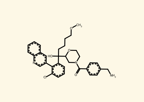 COCCCCC(O)(c1cccc(Cl)c1-c1cnc2ccccc2c1)C1CN(C(=O)c2ccc(CN)cc2)CCO1